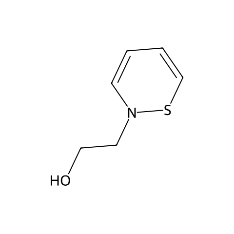 OCCN1C=CC=CS1